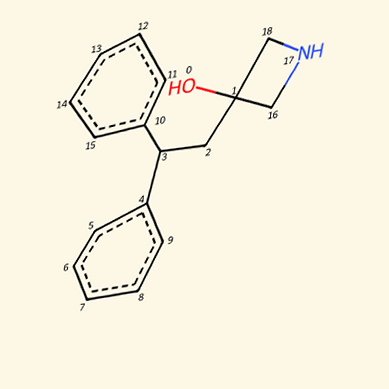 OC1(CC(c2ccccc2)c2ccccc2)CNC1